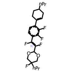 CCCC1CC=C(c2ccc(/C(F)=C(\F)C3OCC(F)(CCC)CO3)c(F)c2F)CC1